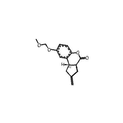 C=C1CC2C(=O)Oc3ccc(OCOC)cc3[C@H]2C1